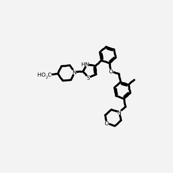 Cc1cc(CN2CCOCC2)ccc1COc1ccccc1C1=CSC(N2CCC(C(=O)O)CC2)N1